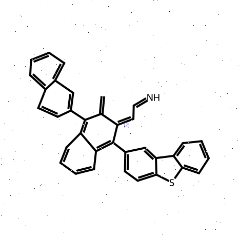 C=c1c(-c2ccc3ccccc3c2)c2ccccc2c(-c2ccc3sc4ccccc4c3c2)/c1=C/C=N